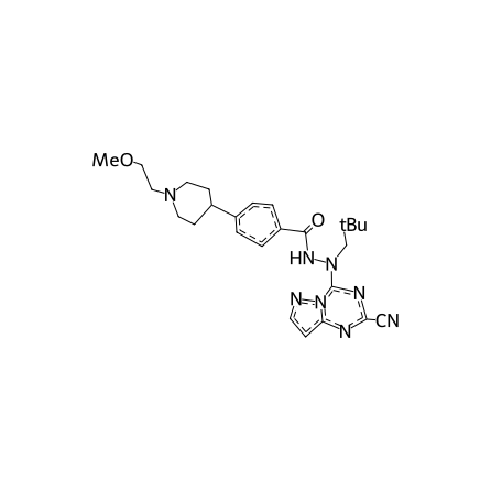 COCCN1CCC(c2ccc(C(=O)NN(CC(C)(C)C)c3nc(C#N)nc4ccnn34)cc2)CC1